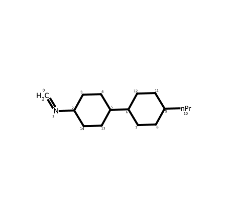 C=NC1CCC(C2CCC(CCC)CC2)CC1